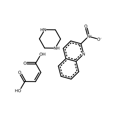 C1CNCCN1.O=C(O)/C=C\C(=O)O.O=[N+]([O-])c1ccc2ccccc2n1